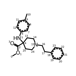 COC(=O)C1(Nc2ccc(C)cc2)CCN(CCc2ccccc2)CC1